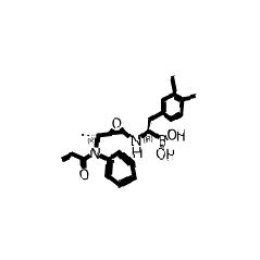 C=CC(=O)N(c1ccccc1)[C@H](C)C1OC1N[C@@H](Cc1ccc(C)c(C)c1)B(O)O